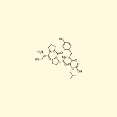 CC(C)C[C@H](NC(=O)[C@H](Cc1ccc(O)cc1)NC(=O)[C@@H]1CCCN1C(=O)[C@@H]1CCCN1C(=O)[C@@H](N)CS)C(=O)O